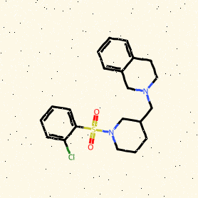 O=S(=O)(c1ccccc1Cl)N1CCCC(CN2CCc3ccccc3C2)C1